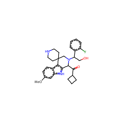 COc1ccc2c3c([nH]c2c1)C(C(=O)C1CCC1)N(C(CO)c1ccccc1F)CC31CCNCC1